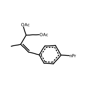 CCCc1ccc(C=C(C)C(OC(C)=O)OC(C)=O)cc1